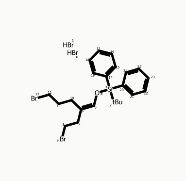 Br.Br.CC(C)(C)[Si](OC=C(CCBr)CCCBr)(c1ccccc1)c1ccccc1